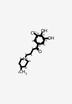 CC1CCN(CCCC(=O)c2cc(O)c(O)c(Cl)c2)CC1